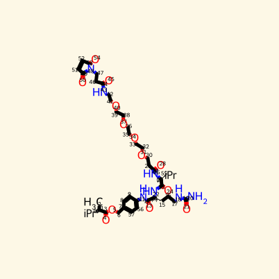 CC(C)C(C)C(=O)OCc1ccc(NC(=O)[C@@H](CCCNC(N)=O)NC(=O)[C@H](NC(=O)CCOCCOCCOCCOCCNC(=O)CCN2C(=O)C=CC2=O)C(C)C)cc1